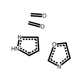 C=O.C=O.c1cn[nH]c1.c1cocn1